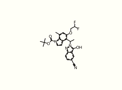 Cc1cc(OCC(F)F)c(C(C)n2nc3ccc(C#N)cc3c2O)c2ccn(C(=O)OC(C)(C)C)c12